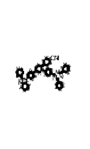 N#Cc1ccc(-c2ccc(-c3ccc(-n4c(-c5ccccc5)nc5ccccc54)cc3)cc2-c2ccc(-c3nc(-c4ccccc4)nc(-c4ccccc4)n3)cc2)cc1